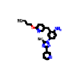 N#CCCCOc1ccc(Cc2cc(-n3nc(-c4cccnc4)nc3C#N)ccc2N)cn1